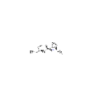 COCn1ccs/c1=N\c1cccc(CBr)n1